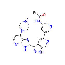 CCC(=O)Nc1cncc(-c2cc3c(-c4nc5c(N6CCN(C)CC6)ccnc5[nH]4)n[nH]c3cn2)c1